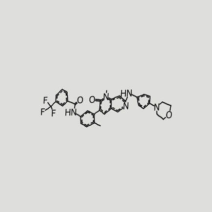 Cc1ccc(NC(=O)c2cccc(C(F)(F)F)c2)cc1-c1cc2cnc(Nc3ccc(N4CCOCC4)cc3)cc2n(C)c1=O